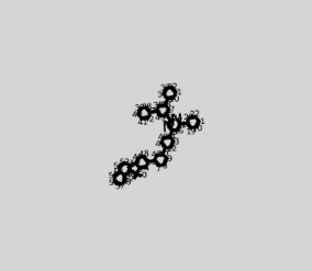 CC1(C)c2cc(-c3cccc(-c4ccc(-c5cc(-c6ccccc6)nc(-c6cc(-c7ccccc7)cc(-c7ccccc7)c6)n5)cc4)c3)ccc2-c2ccc3ccccc3c21